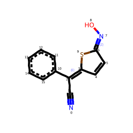 N#C/C(=C1C=C/C(=N/O)S\1)c1ccccc1